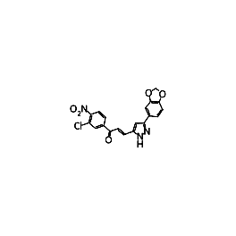 O=C(C=Cc1cc(-c2ccc3c(c2)OCO3)n[nH]1)c1ccc([N+](=O)[O-])c(Cl)c1